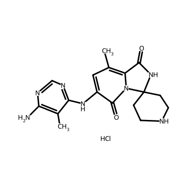 Cc1cc(Nc2ncnc(N)c2C)c(=O)n2c1C(=O)NC21CCNCC1.Cl